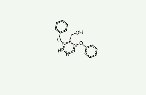 OCp1n(Oc2ccccc2)pn[pH]n1Oc1ccccc1